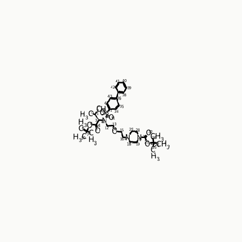 CC(C)[C@H](C(=O)OC(C)(C)C)N(CCOCCN1CCN(C(=O)OC(C)(C)C)CC1)S(=O)(=O)c1ccc(-c2ccccc2)cc1